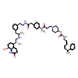 C=C(/C=C\C=C/CNC(=O)OC1CCN(CCC(=O)N(C)c2ccc(CC(=O)NCCc3cccc(CC(C)NC[C@H](O)c4ccc(O)c5[nH]c(=O)ccc45)c3)cc2)CC1)c1ccccc1